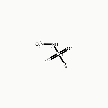 [O]S(=O)(=O)N[N+](=O)[O-]